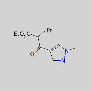 CCOC(=O)C(C(=O)c1cnn(C)c1)C(C)C